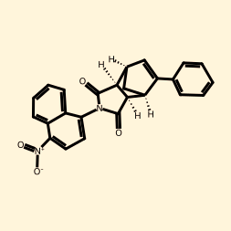 O=C1[C@@H]2[C@H](C(=O)N1c1ccc([N+](=O)[O-])c3ccccc13)[C@H]1C[C@@H]2C=C1c1ccccc1